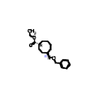 CCOC(=O)[C@@H]1CCCC/C(=N\OCc2ccccc2)CC1